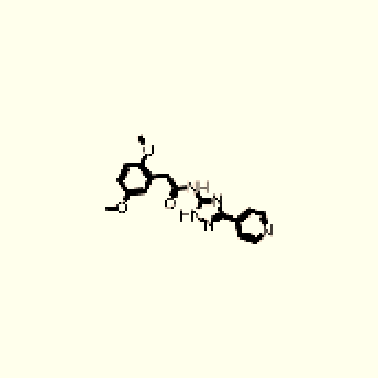 COc1ccc(OC)c(CC(=O)Nc2nc(-c3ccncc3)n[nH]2)c1